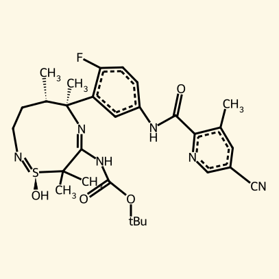 Cc1cc(C#N)cnc1C(=O)Nc1ccc(F)c([C@@]2(C)/N=C(/NC(=O)OC(C)(C)C)C(C)(C)/[S@@](O)=N\CC[C@@H]2C)c1